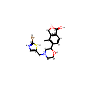 Cc1c(C2CN(Cc3cnc(Br)s3)CCO2)ccc2c1COC2=O